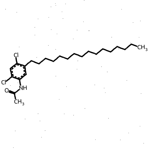 CCCCCCCCCCCCCCCCc1cc(NC(C)=O)c(Cl)cc1Cl